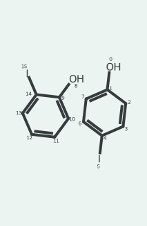 Oc1ccc(I)cc1.Oc1ccccc1I